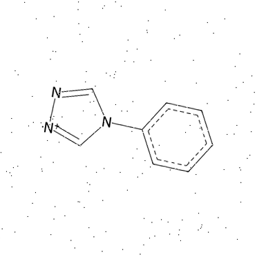 C1=N[N+]=CN1c1ccccc1